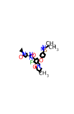 CC(C)c1nnc(-c2ccc(Oc3cc(-c4nc([C@@H]5CC(=O)N(C6CC6)C5)no4)c(F)cc3CN3C[C@@H](C)CC3=O)cc2)s1